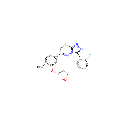 Cc1ccc(C2=Nn3c(nnc3-c3ccccc3F)SC2)cc1O[C@@H]1CCOC1